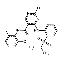 CC(C)S(=O)(=O)c1ccccc1Nc1nc(Cl)ncc1C(=O)Nc1c(F)cccc1Cl